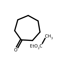 CCOC(C)=O.O=C1CCCCCC1